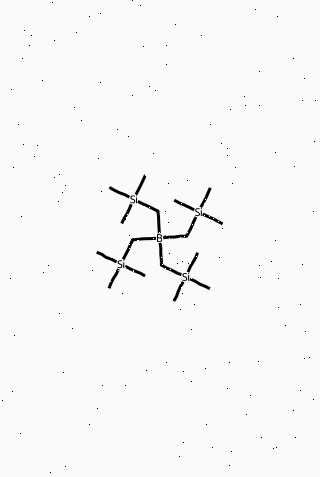 C[Si](C)(C)C[B-](C[Si](C)(C)C)(C[Si](C)(C)C)C[Si](C)(C)C